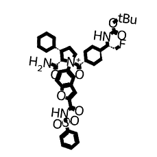 CC(C)(C)OC(=O)N[C@H](CF)[C@H]1CC[C@H](C(=O)[N+]2(c3ccc4oc(C(=O)NS(=O)(=O)c5ccccc5)cc4c3)CC[C@@H](C3CCCCC3)[C@H]2C(N)=O)CC1